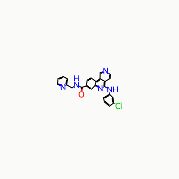 O=C(NCc1ccccn1)c1ccc2c(c1)nc(Nc1cccc(Cl)c1)c1ccncc12